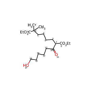 CCOC(=O)C(CCCCC(C)(C)C(=O)OCC)C(=O)CCCCCO